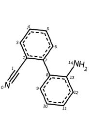 N#Cc1c[c]ccc1-c1ccccc1N